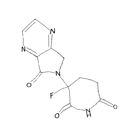 O=C1CCC(F)(N2Cc3nccnc3C2=O)C(=O)N1